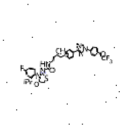 CC(CCNC(=O)/N=C1\SCC(=O)N1c1ccc(F)cc1C(C)C)Cc1ccc(-c2ncn(-c3ccc(OC(F)(F)F)cc3)n2)cc1